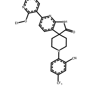 CCOc1ncccc1-c1ccc2c(n1)NC(=O)C21CCN(c2ccc(C(F)(F)F)cc2C#N)CC1